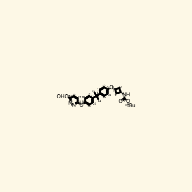 CC(C)(C)OC(=O)N[C@H]1C[C@H](Oc2ccc(C(C)(C)c3ccc(Oc4ccc(C=O)nn4)cc3)cc2)C1